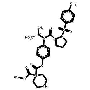 Cc1ccc(S(=O)(=O)N2CCC[C@H]2C(=O)N(c2ccc(OC(=O)[N+]3(C(=O)OC(C)(C)C)CCNCC3)cc2)[C@@H](C)C(=O)O)cc1